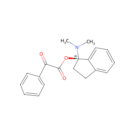 CN(C)[C@@]1(OC(=O)C(=O)c2ccccc2)CCc2ccccc21